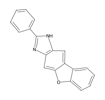 c1ccc(-c2nc3cc4oc5ccccc5c4cc3[nH]2)cc1